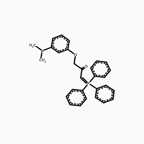 CN(C)c1cccc(OCC(=O)C=P(c2ccccc2)(c2ccccc2)c2ccccc2)c1